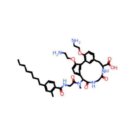 CCCCCCCCc1ccc(C(=O)NCC(=O)N(C)C2C(=O)NCC(=O)NC(C(=O)O)Cc3ccc(OCCN)c(c3)-c3cc2ccc3OCCN)c(C)c1